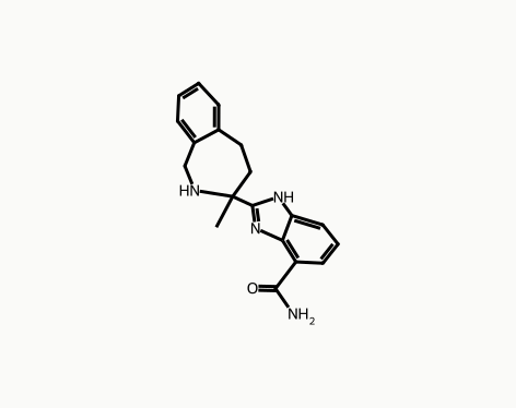 CC1(c2nc3c(C(N)=O)cccc3[nH]2)CCc2ccccc2CN1